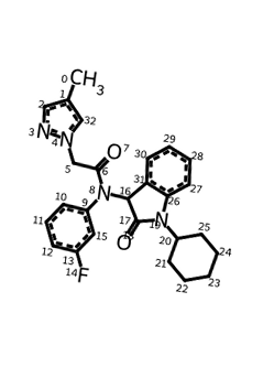 Cc1cnn(CC(=O)N(c2cccc(F)c2)C2C(=O)N(C3CCCCC3)c3ccccc32)c1